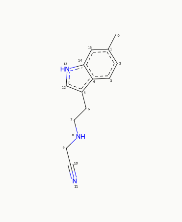 Cc1ccc2c(CCNCC#N)c[nH]c2c1